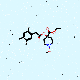 CCOC(=O)C1(OC(=O)Cc2cc(C)c(C)cc2C)CCN(OC)CC1